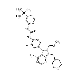 COCc1c(-c2ccc(NC(=O)Nc3cccc(C(C)(C)C)c3)c(F)c2)c2c(N)ncnn2c1CN1CCOCC1